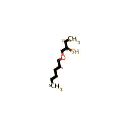 CCCCCCOCC(S)CC